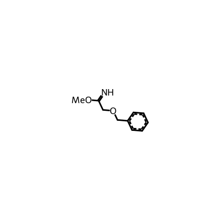 COC(=N)COCc1ccccc1